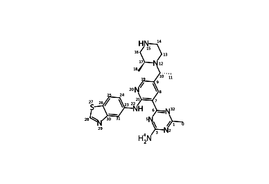 Cc1nc(N)nc(-c2cc([C@@H](C)N3CCNC[C@@H]3C)cnc2Nc2ccc3scnc3c2)n1